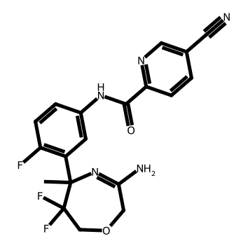 CC1(c2cc(NC(=O)c3ccc(C#N)cn3)ccc2F)N=C(N)COCC1(F)F